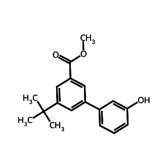 COC(=O)c1cc(-c2cccc(O)c2)cc(C(C)(C)C)c1